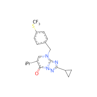 CC(C)c1cn(Cc2ccc(SC(F)(F)F)cc2)c2nc(C3CC3)nn2c1=O